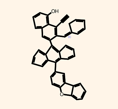 C#Cc1c(/C=C2/C=CC=CC2)c(-c2c3ccccc3c(-c3ccc4oc5ccccc5c4c3)c3ccccc23)cc2cccc(O)c12